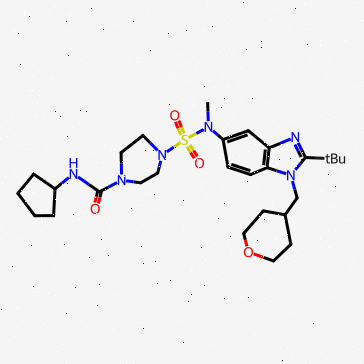 CN(c1ccc2c(c1)nc(C(C)(C)C)n2CC1CCOCC1)S(=O)(=O)N1CCN(C(=O)NC2CCCC2)CC1